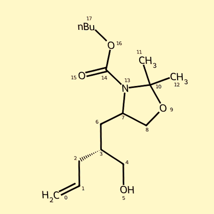 C=CC[C@@H](CO)CC1COC(C)(C)N1C(=O)OCCCC